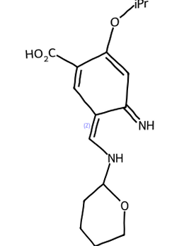 CC(C)OC1=CC(=N)/C(=C\NC2CCCCO2)C=C1C(=O)O